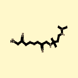 CN(C)OCCC(C)(C)OCC(=O)CCCCC(=O)CO